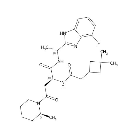 C[C@@H](NC(=O)[C@H](CC(=O)N1CCCC[C@@H]1C)NC(=O)CC1CC(C)(C)C1)c1nc2c(F)cccc2[nH]1